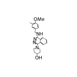 COc1ccc(CNc2nnc(N3CCC(O)CC3)c3ccccc23)cc1C